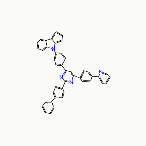 c1ccc(-c2ccc(-c3nc(-c4ccc(-c5ccccn5)cc4)cc(-c4ccc(-n5c6ccccc6c6ccccc65)cc4)n3)cc2)cc1